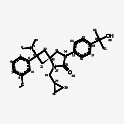 CN(C)[C@]1(c2cccc(F)c2)C[C@@]2(CN(c3ccc(C(C)(C)O)cc3)C(=O)N2CC2CC2)C1